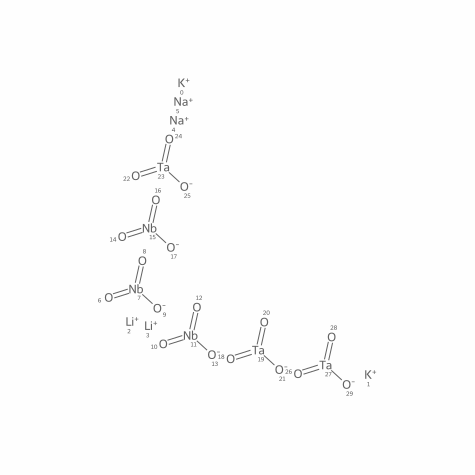 [K+].[K+].[Li+].[Li+].[Na+].[Na+].[O]=[Nb](=[O])[O-].[O]=[Nb](=[O])[O-].[O]=[Nb](=[O])[O-].[O]=[Ta](=[O])[O-].[O]=[Ta](=[O])[O-].[O]=[Ta](=[O])[O-]